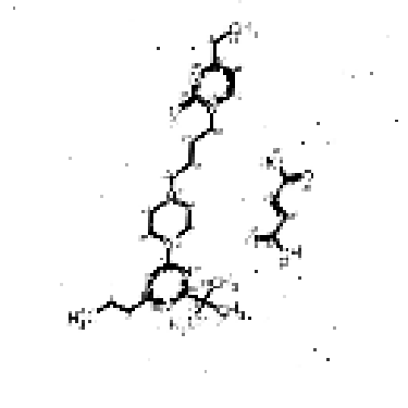 CCCc1cc(N2CCN(CCCCn3ccc(CC)nc3=O)CC2)nc(C(C)(C)C)n1.O=C(O)C=CC(=O)O